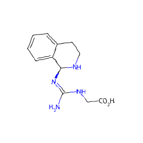 NC(=N[C@@H]1NCCc2ccccc21)NCC(=O)O